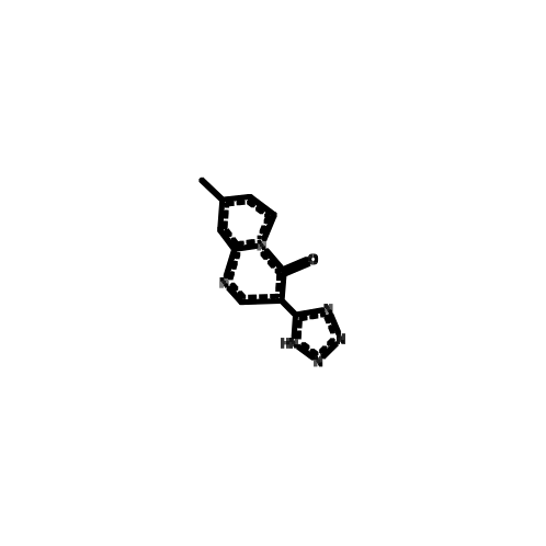 Cc1ccn2c(=O)c(-c3nnn[nH]3)cnc2c1